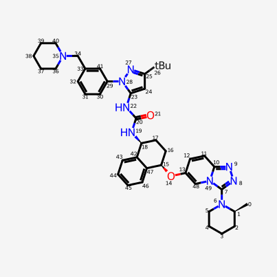 C[C@H]1CCCCN1c1nnc2ccc(O[C@@H]3CC[C@H](NC(=O)Nc4cc(C(C)(C)C)nn4-c4cccc(CN5CCCCC5)c4)c4ccccc43)cn12